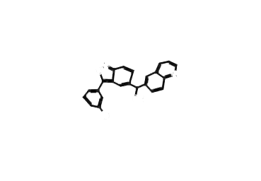 OC(c1ccc2ncccc2c1)c1ccc2noc(-c3cccc(Cl)c3)c2c1